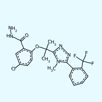 Cn1c(-c2ccccc2C(F)(F)F)nnc1C(C)(C)Oc1ccc(Cl)cc1C(=O)NN